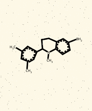 Bc1ccc2c(c1)CCC(c1cc(C)cc(C)c1)N2C